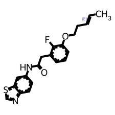 C/C=C/CCOc1cccc(CC(=O)Nc2ccc3ncsc3c2)c1F